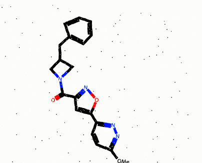 COc1ccc(-c2cc(C(=O)N3CC(Cc4ccccc4)C3)no2)nn1